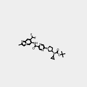 Cc1cn2cc(NC(=O)c3cnc(N4CCC(N(C(=O)OC(C)(C)C)C5CC5)C4)cn3)c(C(F)F)cc2n1